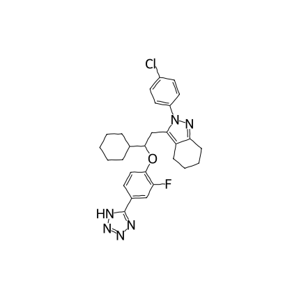 Fc1cc(-c2nnn[nH]2)ccc1OC(Cc1c2c(nn1-c1ccc(Cl)cc1)CCCC2)C1CCCCC1